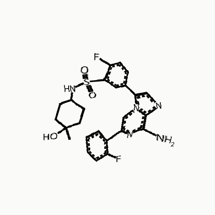 CC1(O)CCC(NS(=O)(=O)c2cc(-c3cnc4c(N)nc(-c5ccccc5F)cn34)ccc2F)CC1